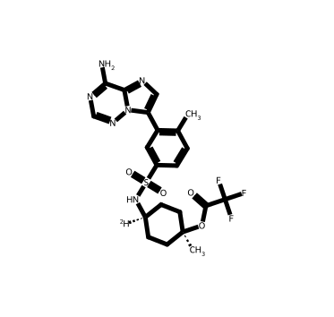 [2H][C@]1(NS(=O)(=O)c2ccc(C)c(-c3cnc4c(N)ncnn34)c2)CC[C@@](C)(OC(=O)C(F)(F)F)CC1